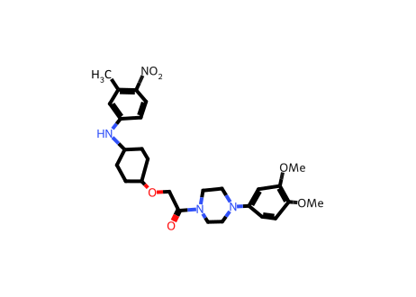 COc1ccc(N2CCN(C(=O)COC3CCC(Nc4ccc([N+](=O)[O-])c(C)c4)CC3)CC2)cc1OC